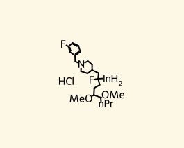 CCCC(OC)C(CC[C](F)([InH2])CC1CCN(Cc2cccc(F)c2)CC1)OC.Cl